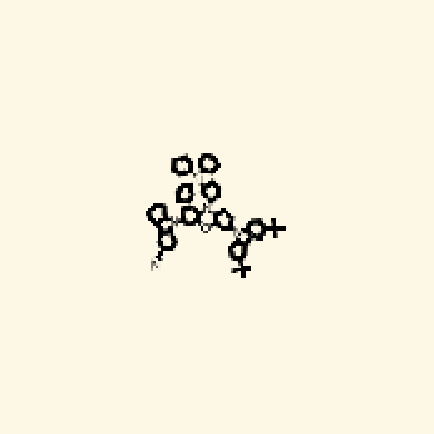 CC(C)(C)c1ccc2c(c1)c1cc(C(C)(C)C)ccc1n2-c1ccc2c(c1)Oc1cc(-n3c4ccccc4c4cc(C#N)ccc43)ccc1N2c1cccc([Si](c2ccccc2)(c2ccccc2)c2ccccc2)c1